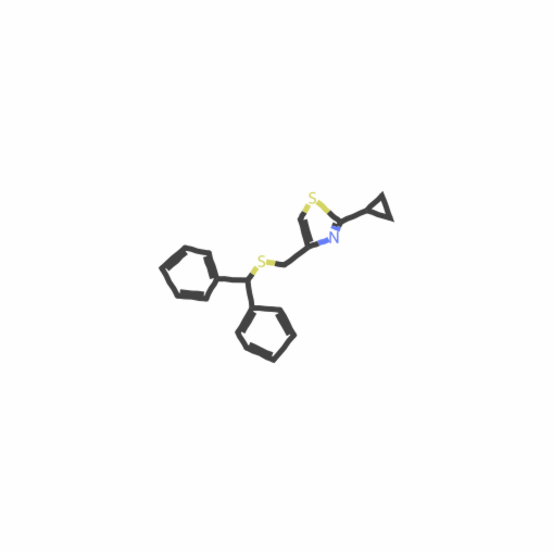 c1ccc(C(SCc2csc(C3CC3)n2)c2ccccc2)cc1